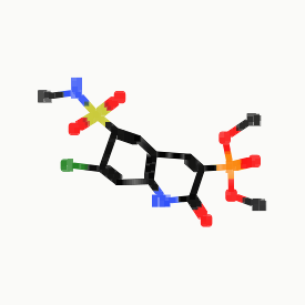 CCNS(=O)(=O)c1cc2cc(P(=O)(OCC)OCC)c(=O)[nH]c2cc1Cl